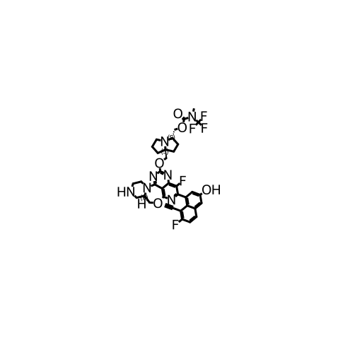 C#Cc1c(F)ccc2cc(O)cc(-c3nc4c5c(nc(OC[C@@]67CCCN6[C@H](COC(=O)N(C)C(F)(F)F)CC7)nc5c3F)N3CCNC[C@H]3CO4)c12